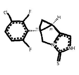 Fc1ccc(Cl)c(F)c1[C@]12C[C@H]1c1c[nH]c(=S)n1C2